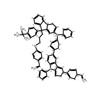 C=Cc1ccc(OCCCC2(c3ccc(C(C)(C)C)cc3)C3=CC(N(C4=CC=C(c5ccc6c(c5)c5c(n6-c6ccccc6)=CCC(C6=CCC(C=C)C=C6)C=5)CC4)c4ccccc4)=CCC3c3ccccc32)cc1